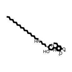 CCCCCCCCCCCCCCCCCCNCCCC[C@@H]1CN2CCc3cc(OC)c(OC)cc3[C@H]2C[C@H]1O